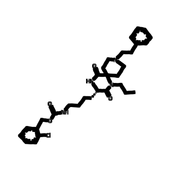 CCCN1C(=O)[C@H](CCCCNC(=O)OCc2ccccc2Cl)NC(=O)C12CCN(CCc1ccccc1)CC2